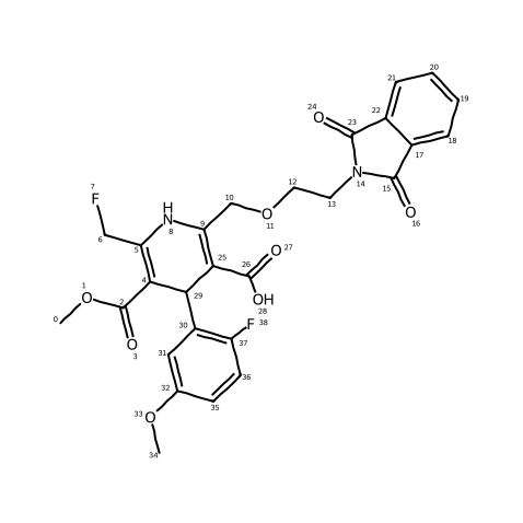 COC(=O)C1=C(CF)NC(COCCN2C(=O)c3ccccc3C2=O)=C(C(=O)O)C1c1cc(OC)ccc1F